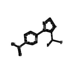 O=[N+]([O-])c1ccc(-n2nc[c]c2C(F)F)cc1